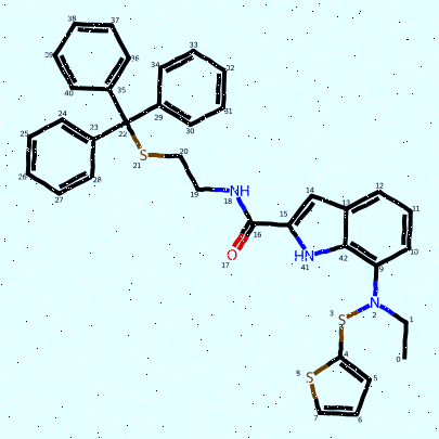 CCN(Sc1cccs1)c1cccc2cc(C(=O)NCCSC(c3ccccc3)(c3ccccc3)c3ccccc3)[nH]c12